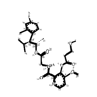 COCCC(=O)Oc1c(OC)ccnc1C(=O)NCC(=O)O[C@@H](C)[C@H](c1ccc(F)cc1C)C(C)C